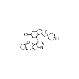 O=C1CCCN1Cc1cc2nccc(-c3cc(Cl)cc4ccn(CC5(F)CCNCC5)c34)c2s1